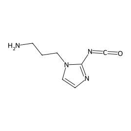 NCCCn1ccnc1N=C=O